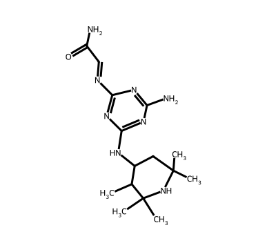 CC1C(Nc2nc(N)nc(N=CC(N)=O)n2)CC(C)(C)NC1(C)C